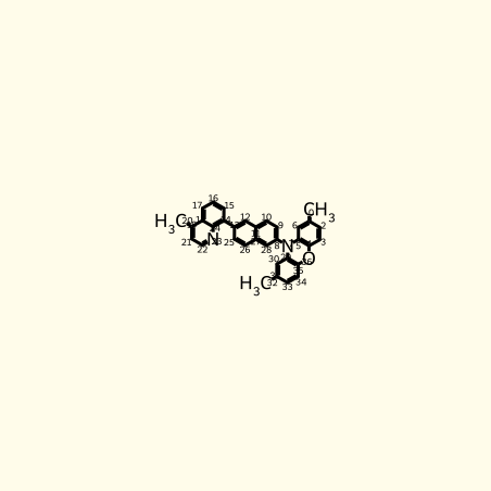 Cc1ccc2c(c1)N(c1ccc3cc(-c4cccc5c(C)ccnc45)ccc3c1)c1cc(C)ccc1O2